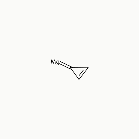 [Mg]=[C]1C=C1